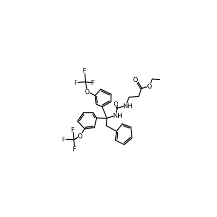 CCOC(=O)CCNC(=O)NC(Cc1ccccc1)(c1cccc(OC(F)(F)F)c1)c1cccc(OC(F)(F)F)c1